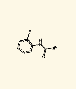 [CH2]CCC(=O)Nc1ccccc1F